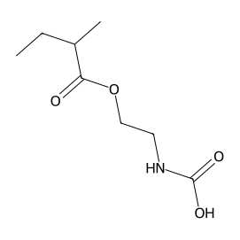 CCC(C)C(=O)OCCNC(=O)O